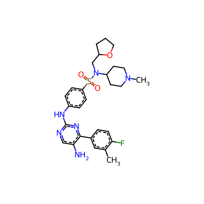 Cc1cc(-c2nc(Nc3ccc(S(=O)(=O)N(CC4CCCO4)C4CCN(C)CC4)cc3)ncc2N)ccc1F